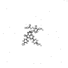 CC(=O)NC(CCC(=O)O)C(=O)O.CN1CCN(C(=O)OC2c3nccnc3C(=O)N2c2ccc(Cl)cn2)CC1